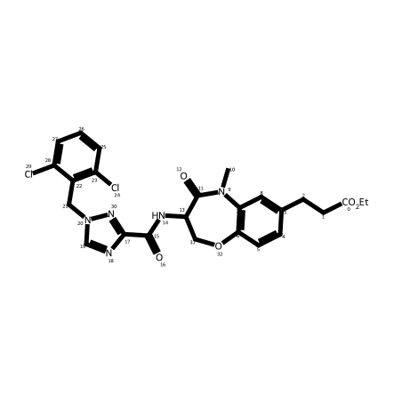 CCOC(=O)CCc1ccc2c(c1)N(C)C(=O)C(NC(=O)c1ncn(Cc3c(Cl)cccc3Cl)n1)CO2